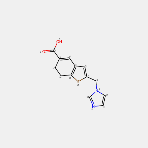 O=C(O)C1=Cc2cc(Cn3ccnc3)sc2CC1